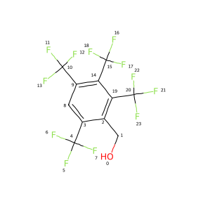 OCc1c(C(F)(F)F)cc(C(F)(F)F)c(C(F)(F)F)c1C(F)(F)F